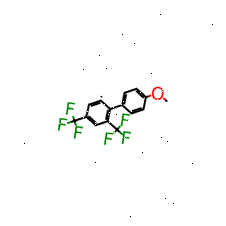 COc1ccc(-c2[c]cc(C(F)(F)F)cc2C(F)(F)F)cc1